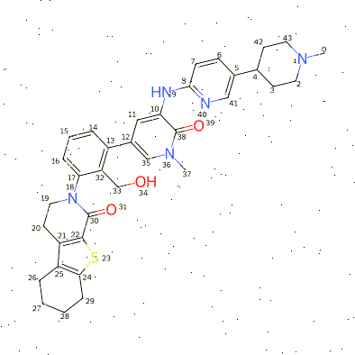 CN1CCC(c2ccc(Nc3cc(-c4cccc(N5CCc6c(sc7c6CCCC7)C5=O)c4CO)cn(C)c3=O)nc2)CC1